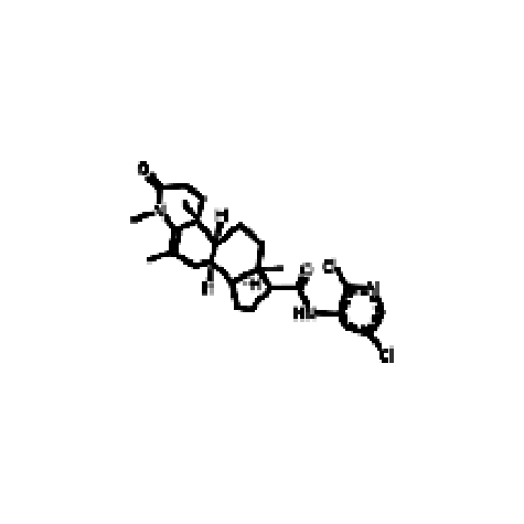 CC1=C2N(C)C(=O)CC[C@]2(C)[C@@H]2CC[C@]3(C)C(C(=O)Nc4cc(Cl)cnc4Cl)CC[C@H]3[C@@H]2C1